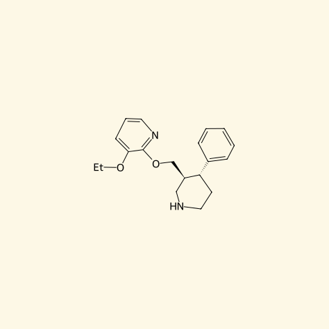 CCOc1cccnc1OC[C@@H]1CNCC[C@H]1c1ccccc1